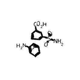 NS(=O)(=O)c1cccc(C(=O)O)c1.Nc1cc2ccc1o2